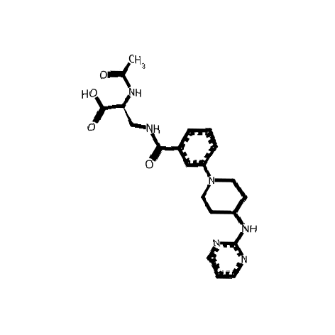 CC(=O)N[C@@H](CNC(=O)c1cccc(N2CCC(Nc3ncccn3)CC2)c1)C(=O)O